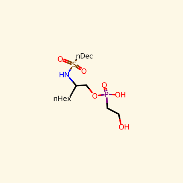 CCCCCCCCCCS(=O)(=O)NC(CCCCCC)COP(=O)(O)CCO